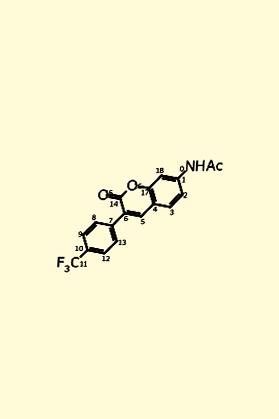 CC(=O)Nc1ccc2cc(-c3ccc(C(F)(F)F)cc3)c(=O)oc2c1